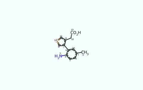 Cc1ccc(N)c(-c2cscc2CC(=O)O)c1